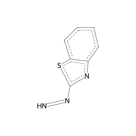 N=Nc1nc2ccccc2s1